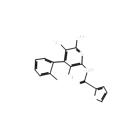 COc1nc(NC(=O)c2ccco2)c(C#N)c(-c2ccccc2F)c1C#N